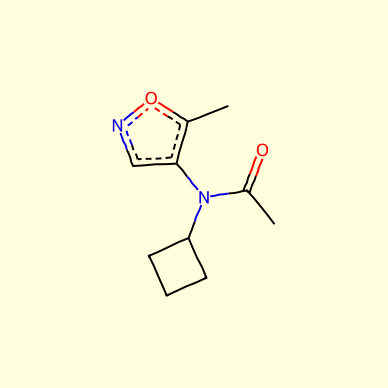 CC(=O)N(c1cnoc1C)C1CCC1